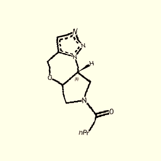 CCCC(=O)N1CC2OCc3cnnn3[C@@H]2C1